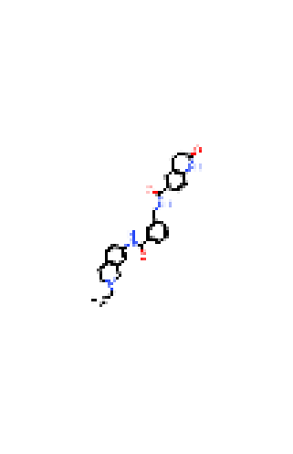 CCN1CCc2ccc(NC(=O)c3cccc(CNC(=O)c4ccc5c(c4)CCC(=O)N5)c3)cc2C1